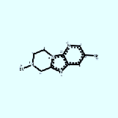 CCN1CCn2c(nc3cc(Br)cnc32)C1